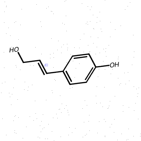 OC/C=C/c1ccc(O)cc1